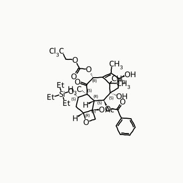 CC[Si](CC)(CC)O[C@H]1C[C@H]2OC[C@@]2(OC(C)=O)[C@H]2[C@H](OC(=O)c3ccccc3)[C@]3(O)C[C@H](O)C(C)=C([C@@H](OC(=O)OCC(Cl)(Cl)Cl)C(=O)[C@]12C)C3(C)C